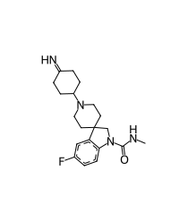 CNC(=O)N1CC2(CCN(C3CCC(=N)CC3)CC2)c2cc(F)ccc21